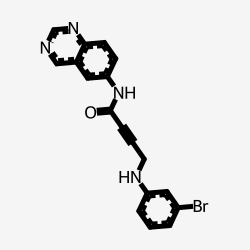 O=C(C#CCNc1cccc(Br)c1)Nc1ccc2ncncc2c1